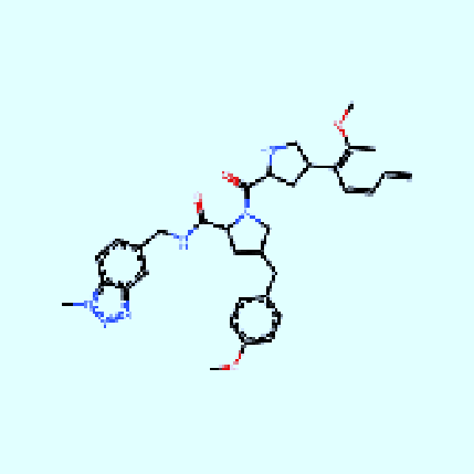 C=C/C=C\C(=C(/C)OC)C1CNC(C(=O)N2CC(Cc3ccc(OC)cc3)CC2C(=O)NCc2ccc3c(c2)nnn3C)C1